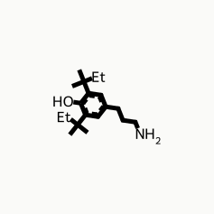 CCC(C)(C)c1cc(CCCN)cc(C(C)(C)CC)c1O